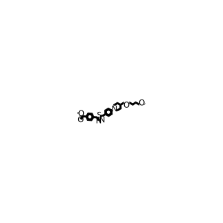 COCCCCOCC1CCN(c2ccc(-c3nnc(-c4ccc(C(=O)OC)cc4)s3)cc2)CC1